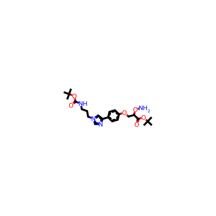 CC(C)(C)OC(=O)NCCCn1cnc(-c2ccc(OCC(ON)C(=O)OC(C)(C)C)cc2)c1